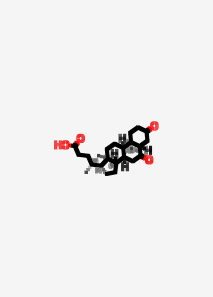 C[C@H](CCC(=O)O)[C@H]1CC[C@H]2[C@@H]3CC(=O)[C@H]4CC(=O)CC[C@]4(C)[C@H]3CC[C@]12C